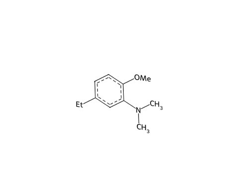 CCc1ccc(OC)c(N(C)C)c1